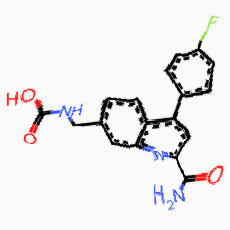 NC(=O)c1cc(-c2ccc(F)cc2)c2ccc(CNC(=O)O)cc2n1